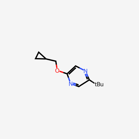 CC(C)(C)c1cnc(OCC2CC2)cn1